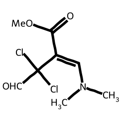 COC(=O)C(=CN(C)C)C(Cl)(Cl)C=O